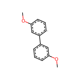 COc1cc[c]c(-c2cccc(OC)c2)c1